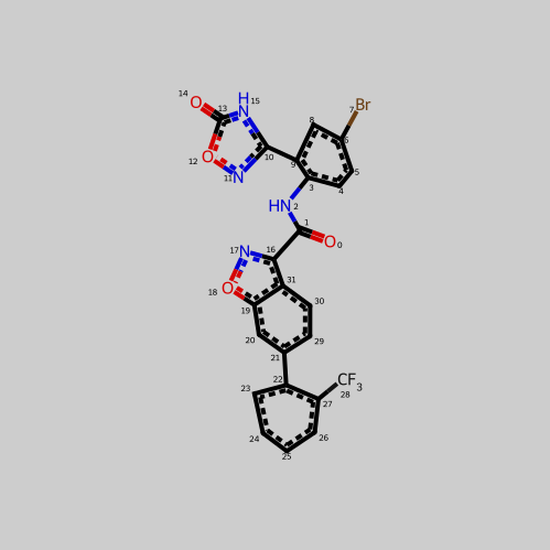 O=C(Nc1ccc(Br)cc1-c1noc(=O)[nH]1)c1noc2cc(-c3ccccc3C(F)(F)F)ccc12